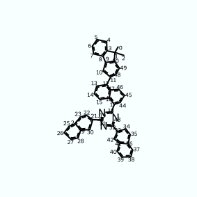 CC1(C)c2ccccc2-c2cc(-c3cccc4c(-c5nc(-c6ccc7ccccc7c6)nc(-c6ccc7ccccc7c6)n5)cccc34)ccc21